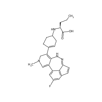 CCC[C@H](NC1CC=C(C2=C3NN=C4C=Cc5cc(F)cc(c54)C3=CN(C)C2)CC1)C(=O)O